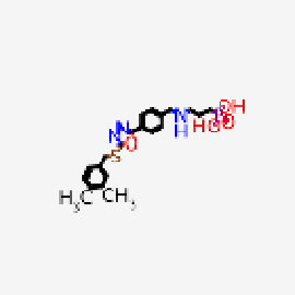 Cc1ccc(CSc2nnc(-c3ccc(CNCCCP(=O)(O)O)cc3)o2)cc1C